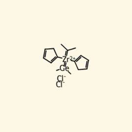 C[C](C)=[Zr+2]([C]1=CC=CC1)([C]1=CC=CC1)=[Ge]([CH3])[CH3].[Cl-].[Cl-]